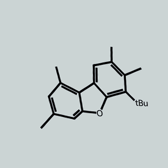 Cc1cc(C)c2c(c1)oc1c(C(C)(C)C)c(C)c(C)cc12